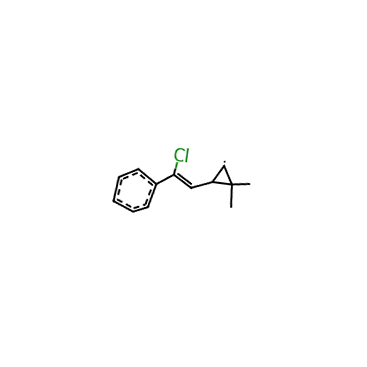 CC1(C)[CH]C1C=C(Cl)c1ccccc1